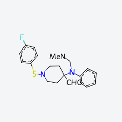 CNCN(c1ccccc1)C1(C=O)CCN(Sc2ccc(F)cc2)CC1